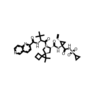 C=C[C@@H]1C[C@]1(NC(=O)[C@@H]1C[C@@]2(CN1C(=O)[C@@H](NC(=O)c1ccc3cnccc3n1)C(C)(C)C)C(C)(C)C21CCC1)C(=O)NS(=O)(=O)C1CC1